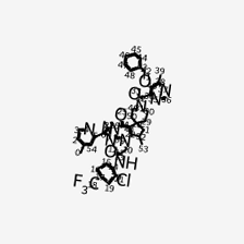 Cc1ccnc(-c2nc3n(CC(=O)Nc4ccc(C(F)(F)F)cc4Cl)c4c(c(=O)n3n2)C2(CCN(C(=O)c3ncnc(C)c3OCc3ccccc3)CC2)CC4C)c1